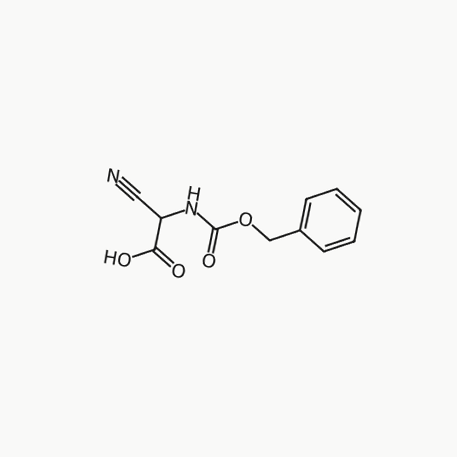 N#CC(NC(=O)OCc1ccccc1)C(=O)O